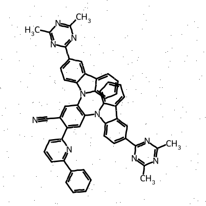 Cc1nc(C)nc(-c2ccc3c(c2)c2ccccc2n3-c2cc(C#N)c(-c3cccc(-c4ccccc4)n3)cc2-n2c3ccccc3c3cc(-c4nc(C)nc(C)n4)ccc32)n1